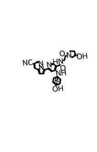 N#Cc1cnn2c(-c3cc(NC45CCC(O)(CC4)CC5)c(C(=O)NCC(=O)N4CC[C@H](O)C4)cn3)ccc2c1